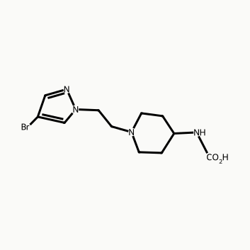 O=C(O)NC1CCN(CCn2cc(Br)cn2)CC1